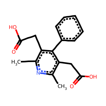 Cc1nc(C)c(CC(=O)O)c(-c2ccccc2)c1CC(=O)O